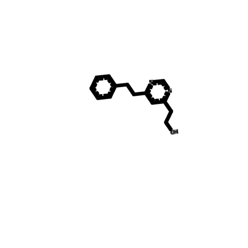 OCCc1cc(CCc2ccccc2)ncn1